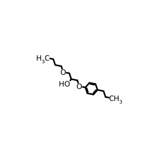 CCCCOCC(O)COc1ccc(CCC)cc1